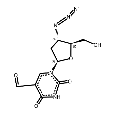 [N-]=[N+]=N[C@H]1C[C@H](n2cc(C=O)c(=O)[nH]c2=O)O[C@@H]1CO